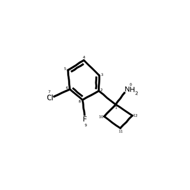 NC1(c2cccc(Cl)c2F)CCC1